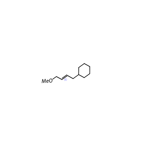 COC/C=C/CC1CCCCC1